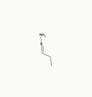 CC/C=B/N